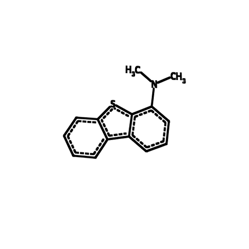 CN(C)c1cccc2c1sc1ccccc12